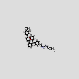 C=C/C=C\C=C/Cc1ccc(N(c2ccccc2)c2ccccc2-c2ccc(-c3ccc(C)cc3)cc2)cc1